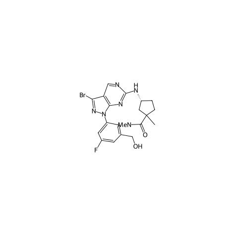 CNC(=O)C1(C)CC[C@@H](Nc2ncc3c(Br)nn(-c4cc(F)cc(CO)c4)c3n2)C1